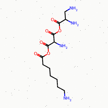 NCCCCCCC(=O)OC(=O)C(N)C(=O)OC(=O)C(N)CN